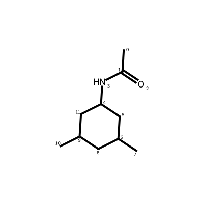 CC(=O)NC1CC(C)CC(C)C1